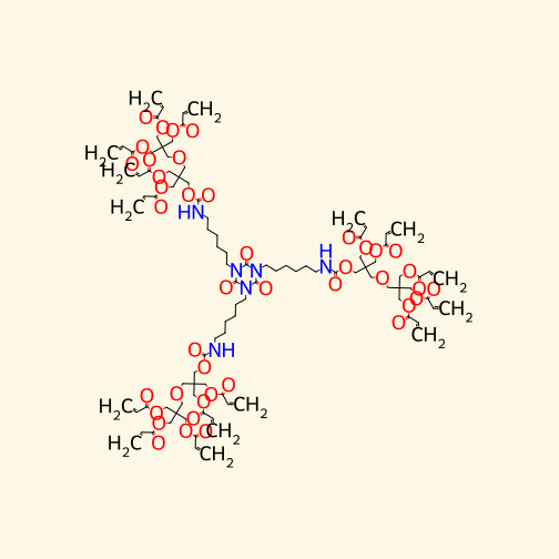 C=CC(=O)OCC(COCC(COC(=O)C=C)(COC(=O)C=C)COC(=O)NCCCCCCn1c(=O)n(CCCCCCNC(=O)OCC(COCC(COC(=O)C=C)(COC(=O)C=C)COC(=O)C=C)(COC(=O)C=C)COC(=O)C=C)c(=O)n(CCCCCCNC(=O)OCC(COCC(COC(=O)C=C)(COC(=O)C=C)COC(=O)C=C)(COC(=O)C=C)COC(=O)C=C)c1=O)(COC(=O)C=C)COC(=O)C=C